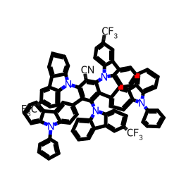 N#Cc1c(-n2c3ccccc3c3cc(C(F)(F)F)ccc32)c(-c2ccc3c(c2)c2ccccc2n3-c2ccccc2)c(-n2c3ccccc3c3cc(C(F)(F)F)ccc32)c(-c2ccc3c(c2)c2ccccc2n3-c2ccccc2)c1-n1c2ccccc2c2cc(C(F)(F)F)ccc21